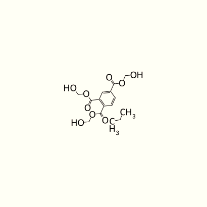 CCC.O=C(OCO)c1ccc(C(=O)OCO)c(C(=O)OCO)c1